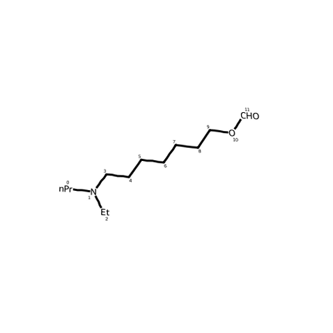 CCCN(CC)CCCCCCCOC=O